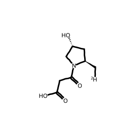 [2H]C[C@@H]1C[C@@H](O)CN1C(=O)CC(=O)O